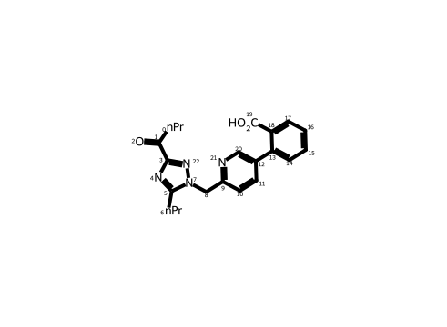 CCCC(=O)c1nc(CCC)n(Cc2ccc(-c3ccccc3C(=O)O)cn2)n1